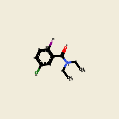 CCN(CC)C(=O)c1cc(Cl)ccc1I